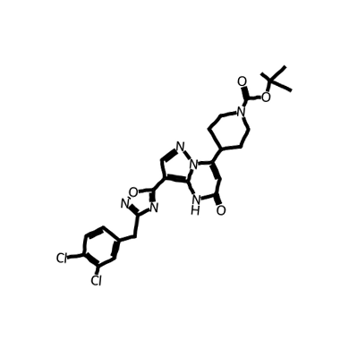 CC(C)(C)OC(=O)N1CCC(c2cc(=O)[nH]c3c(-c4nc(Cc5ccc(Cl)c(Cl)c5)no4)cnn23)CC1